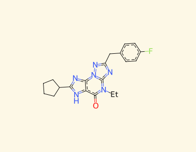 CCn1c(=O)c2[nH]c(C3CCCC3)nc2n2nc(Cc3ccc(F)cc3)nc12